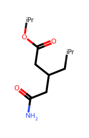 CC(C)CC(CC(N)=O)CC(=O)OC(C)C